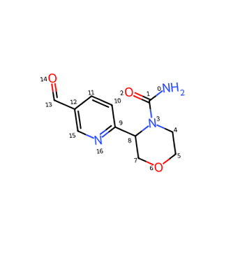 NC(=O)N1CCOCC1c1ccc(C=O)cn1